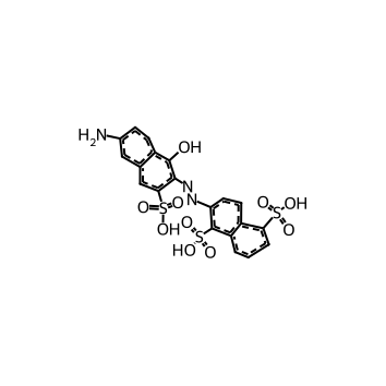 Nc1ccc2c(O)c(N=Nc3ccc4c(S(=O)(=O)O)cccc4c3S(=O)(=O)O)c(S(=O)(=O)O)cc2c1